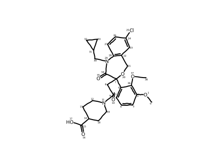 COc1cccc(C2(CC(=O)N3CCC(C(=O)O)CC3)OCc3cc(Cl)ccc3N(CC3CC3)C2=O)c1OC